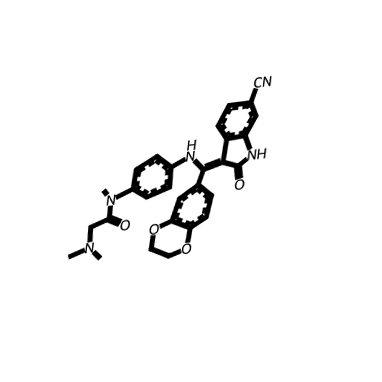 CN(C)CC(=O)N(C)c1ccc(NC(=C2C(=O)Nc3cc(C#N)ccc32)c2ccc3c(c2)OCCO3)cc1